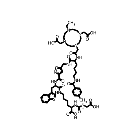 CCN1CCN(CC(=O)O)CCN(CC(=O)NC(CCCCNC(=O)c2ccc(C)cc2)C(=O)NCc2cc(C(=O)NC(Cc3csc4ccccc34)C(=O)NCCCCC(NC(=O)NCC(=O)O)C(=O)O)no2)CCN(CC(=O)O)CC1